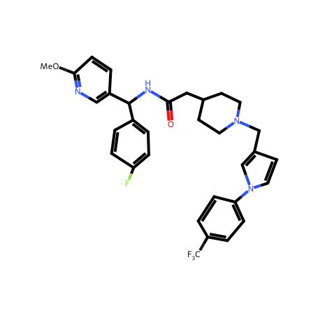 COc1ccc(C(NC(=O)CC2CCN(Cc3ccn(-c4ccc(C(F)(F)F)cc4)c3)CC2)c2ccc(F)cc2)cn1